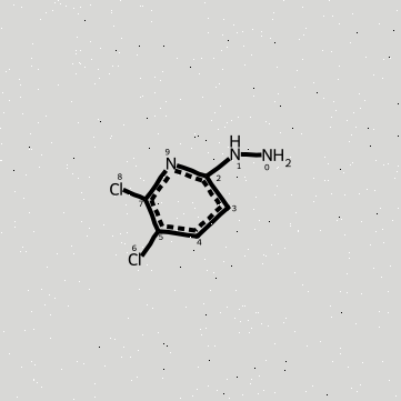 NNc1ccc(Cl)c(Cl)n1